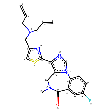 C=CCN(CC=C)Cc1csc(-c2ncn3c2CN(C)C(=O)c2cc(F)ccc2-3)n1